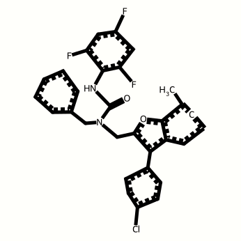 Cc1cccc2c(-c3ccc(Cl)cc3)c(CN(Cc3ccccc3)C(=O)Nc3c(F)cc(F)cc3F)oc12